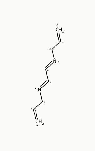 C=CCN=CC=NCC=C